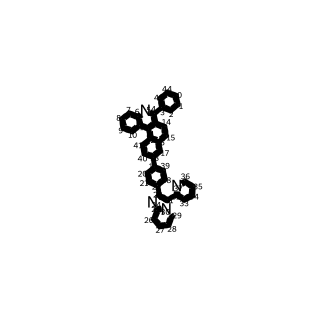 c1ccc(-c2nc3ccccc3c3c2ccc2cc(-c4ccc(-c5nc6ccccn6c5-c5ccccn5)cc4)ccc23)cc1